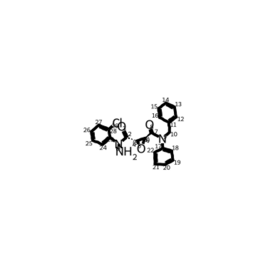 NN(C(=O)[C@H]1O[C@@H]1C(=O)N(Cc1ccccc1)c1ccccc1)c1ccccc1Cl